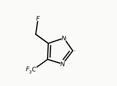 FCC1=C(C(F)(F)F)N=[C][N]1